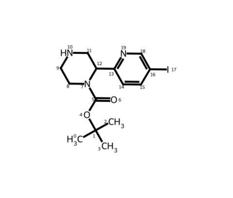 CC(C)(C)OC(=O)N1CCNCC1c1ccc(I)cn1